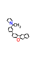 C=C(c1cccc(-c2ccc3oc4cc5ccccc5cc4c3c2)c1)N1C=CC=CC1